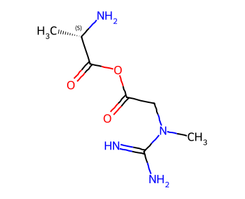 C[C@H](N)C(=O)OC(=O)CN(C)C(=N)N